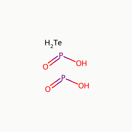 O=PO.O=PO.[TeH2]